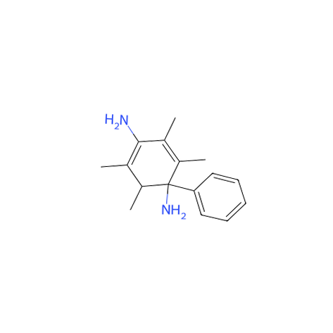 CC1=C(C)C(N)(c2ccccc2)C(C)C(C)=C1N